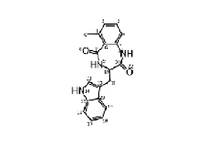 Cc1cccc2c1C(=O)N[C@H](Cc1c[nH]c3ccccc13)C(=O)N2